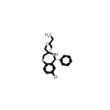 CCCC[C@@]1(CC)CSc2ccc(Cl)cc2[C@@H](c2ccccc2)N1